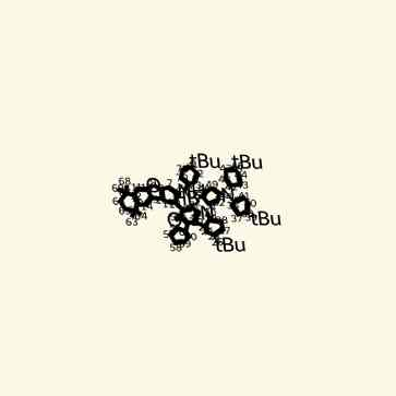 CC(C)(C)c1ccc(Nc2cc3oc4cc5c(cc4c3cc2-c2c3c4c(c6cc(C(C)(C)C)ccc6n4-c4cc(N(c6ccc(C(C)(C)C)cc6)c6ccc(C(C)(C)C)cc6)ccc4B3)c3c2oc2ccccc23)C(C)(C)CCC5(C)C)cc1